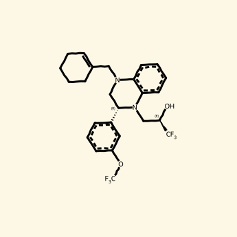 O[C@H](CN1c2ccccc2N(CC2=CCCCC2)C[C@H]1c1cccc(OC(F)(F)F)c1)C(F)(F)F